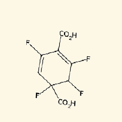 O=C(O)C1=C(F)C(F)C(F)(C(=O)O)C=C1F